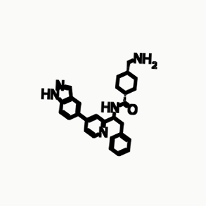 NC[C@H]1CC[C@H](C(=O)NC(Cc2ccccc2)c2cc(-c3ccc4[nH]ncc4c3)ccn2)CC1